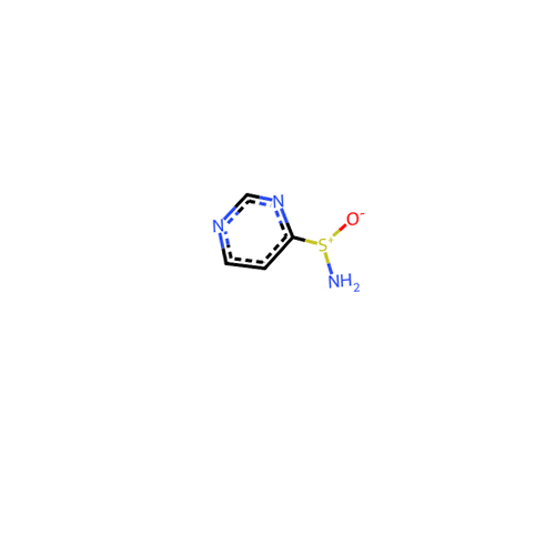 N[S+]([O-])c1ccncn1